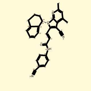 Cc1cc(C)c2c(C#N)c(/C=C/C(=O)Nc3ccc(C#N)cc3)n([C@H]3CCCc4ccccc43)c2n1